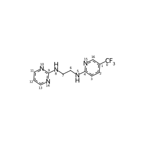 FC(F)(F)c1ccc(NCCNc2ncccn2)nc1